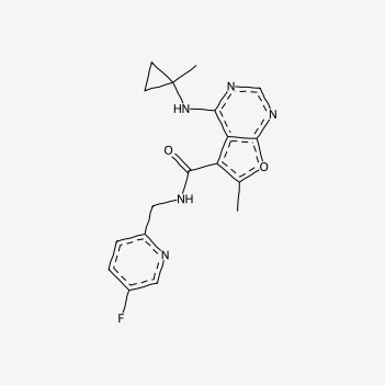 Cc1oc2ncnc(NC3(C)CC3)c2c1C(=O)NCc1ccc(F)cn1